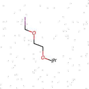 CC(C)OCCOCI